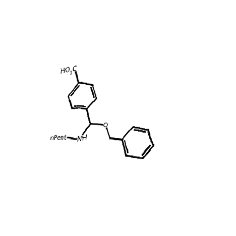 CCCCCNC(OCc1ccccc1)c1ccc(C(=O)O)cc1